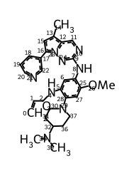 C=CC(=O)Nc1cc(Nc2ncc3c(C)cc(-c4cccnc4)n3n2)c(OC)cc1N1CCC(N(C)C)CC1